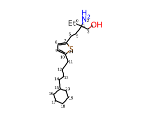 CCC(N)(CO)CCc1ccc(CCCCC2CCCCC2)s1